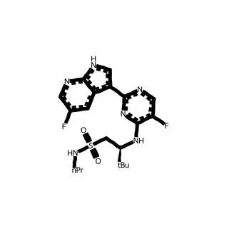 CCCNS(=O)(=O)C[C@@H](Nc1nc(-c2c[nH]c3ncc(F)cc23)ncc1F)C(C)(C)C